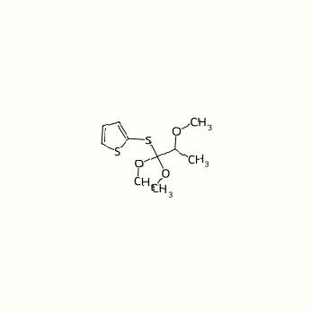 COC(C)C(OC)(OC)Sc1cccs1